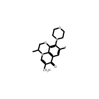 CC1COc2c(N3CCOCC3)c(F)cc3c(=O)c(C(=O)O)cn1c23